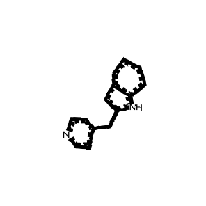 c1ccc2[nH]c(Cc3ccncc3)cc2c1